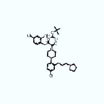 CC(C)(C)OC(=O)N[C@H](Cc1ccc(Cl)cc1Cl)C(=O)N1CCC(c2ccc(Cl)cc2CCCN2CCCC2)CC1